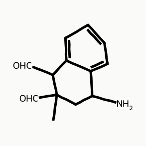 CC1(C=O)CC(N)c2ccccc2C1C=O